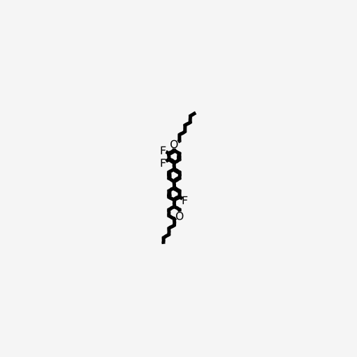 CCCCCCCOc1ccc(-c2ccc(-c3ccc(C4CCC(CCCCC)OC4)c(F)c3)cc2)c(F)c1F